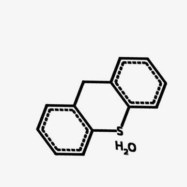 O.c1ccc2c(c1)Cc1ccccc1S2